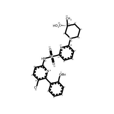 CC(C)COc1ccccc1-c1nc(NS(=O)(=O)c2cccc(N3CCC[C@@](C)(C(=O)O)C3)n2)ccc1Cl